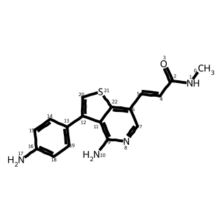 CNC(=O)C=Cc1cnc(N)c2c(-c3ccc(N)cc3)csc12